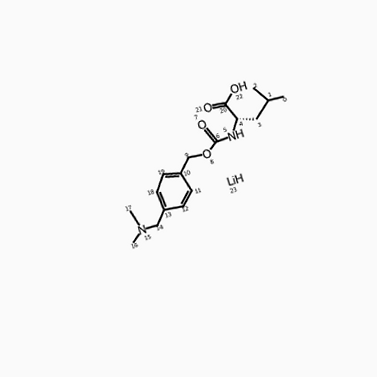 CC(C)C[C@H](NC(=O)OCc1ccc(CN(C)C)cc1)C(=O)O.[LiH]